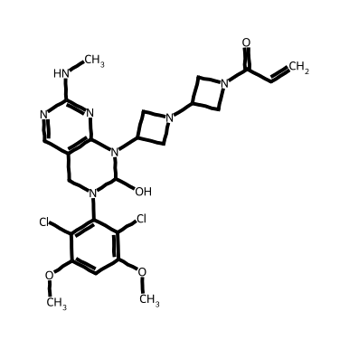 C=CC(=O)N1CC(N2CC(N3c4nc(NC)ncc4CN(c4c(Cl)c(OC)cc(OC)c4Cl)C3O)C2)C1